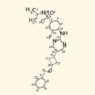 CC(C)NS(=O)(=O)c1ccc(Nc2ncc(C3CC(OCc4ccccc4)C3)cn2)c(F)c1